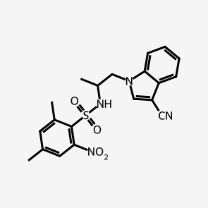 Cc1cc(C)c(S(=O)(=O)NC(C)Cn2cc(C#N)c3ccccc32)c([N+](=O)[O-])c1